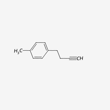 C#CCCc1ccc(C)cc1